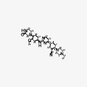 CCN1CCN(c2ccc(-c3ccnc(Nc4ccc(N5CCNC(=O)C5)c(OC)c4)n3)cc2C#N)CC1